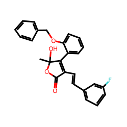 CC1(O)OC(=O)C(C=Cc2cccc(F)c2)=C1c1ccccc1OCc1ccccc1